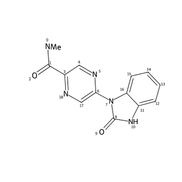 CNC(=O)c1cnc(-n2c(=O)[nH]c3ccccc32)cn1